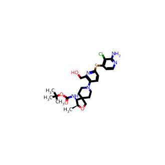 C[C@@H]1OCC2(CCN(c3ccc(Sc4ccnc(N)c4Cl)nc3CO)CC2)[C@@H]1NC(=O)OC(C)(C)C